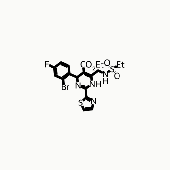 CCOC(=O)C1=C(CNS(=O)(=O)CC)NC(c2nccs2)=NC1c1ccc(F)cc1Br